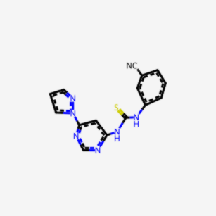 N#Cc1cccc(NC(=S)Nc2cc(-n3cccn3)ncn2)c1